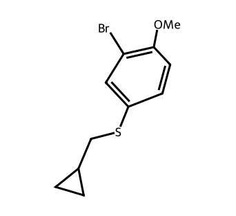 COc1ccc(SCC2CC2)cc1Br